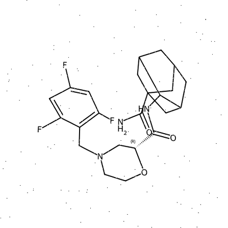 NC(=O)C12CC3CC(C1)C(NC(=O)[C@H]1CN(Cc4c(F)cc(F)cc4F)CCO1)C(C3)C2